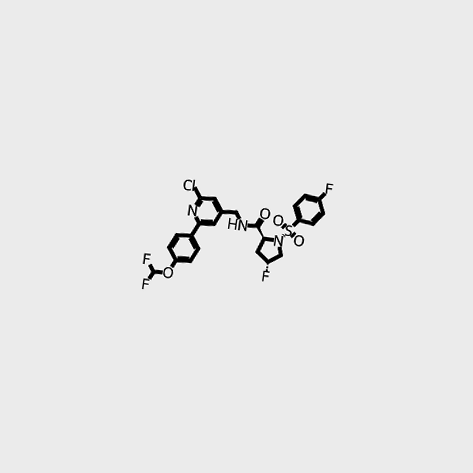 O=C(NCc1cc(Cl)nc(-c2ccc(OC(F)F)cc2)c1)[C@@H]1C[C@@H](F)CN1S(=O)(=O)c1ccc(F)cc1